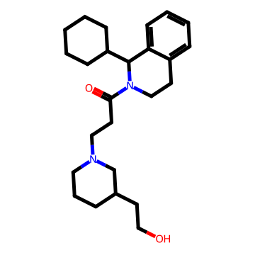 O=C(CCN1CCCC(CCO)C1)N1CCc2ccccc2C1C1CCCCC1